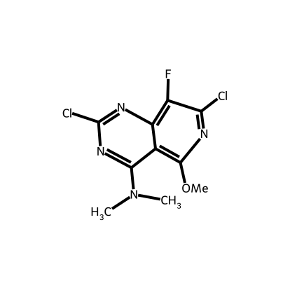 COc1nc(Cl)c(F)c2nc(Cl)nc(N(C)C)c12